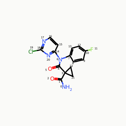 NC(=O)C1(C(=O)N(c2ccc(F)cc2)c2ccnc(Cl)n2)CC1